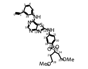 C#Cc1cccc(Nc2ncnc3nc(Nc4ccc(S(=O)(=O)C(CCOC)CCOC)cc4)sc23)c1